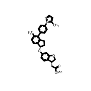 COC(=O)C[C@@H]1COc2cc(O[C@@H]3CCc4c3ccc(C(F)(F)F)c4-c3ccc(-n4nccc4C)cc3)ccc21